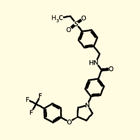 CCS(=O)(=O)c1ccc(CNC(=O)c2ccc(N3CC[C@@H](Oc4ccc(C(F)(F)F)cc4)C3)cc2)cc1